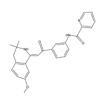 COc1ccc2c(c1)C(=CC(=O)c1cccc(NC(=O)c3ccccn3)c1)NC(C)(C)C2